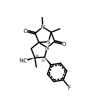 CN1C(=O)C23C[C@](C)(C#N)[C@H](c4ccc(F)cc4)N2C(=O)C1(C)S3